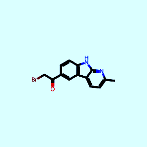 Cc1ccc2c(n1)[nH]c1ccc(C(=O)CBr)cc12